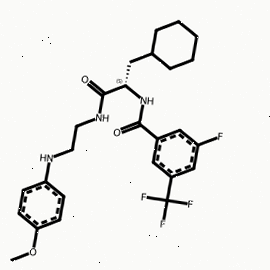 COc1ccc(NCCNC(=O)[C@H](CC2CCCCC2)NC(=O)c2cc(F)cc(C(F)(F)F)c2)cc1